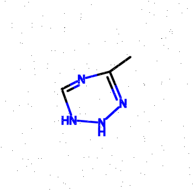 CC1=NNNC=N1